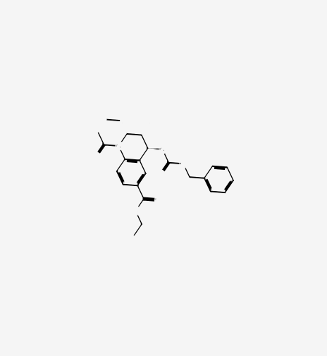 CCOC(=O)c1ccc2c(c1)[C@H](NC(=O)OCc1ccccc1)[C@@H](C)[C@@H](CC)N2C(C)=O